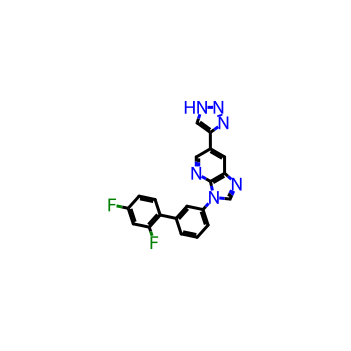 Fc1ccc(-c2cccc(-n3cnc4cc(-c5c[nH]nn5)cnc43)c2)c(F)c1